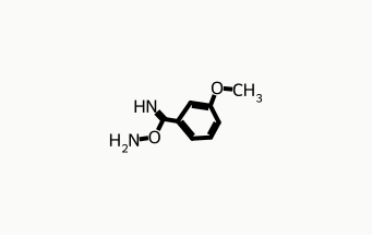 COc1cccc(C(=N)ON)c1